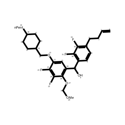 C=CCCc1ccc(C(O)c2cc(OCC3CCC(CCCCC)CC3)c(F)c(F)c2OCOC)c(F)c1F